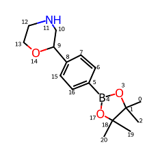 CC1(C)OB(c2ccc(C3CNCCO3)cc2)OC1(C)C